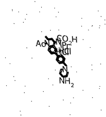 CC(=O)N1c2ccc(-c3ccc(CN4CCC(N)CC4)cc3)cc2C(N(C(=O)O)C(C)C)CC1C.Cl.Cl